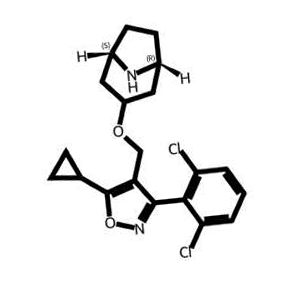 Clc1cccc(Cl)c1-c1noc(C2CC2)c1COC1C[C@H]2CC[C@@H](C1)N2